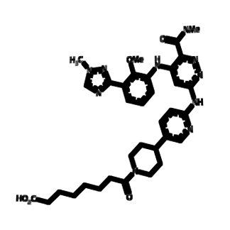 CNC(=O)c1nnc(Nc2ccc(C3CCN(C(=O)CCCCCCC(=O)O)CC3)cn2)cc1Nc1cccc(-c2ncn(C)n2)c1OC